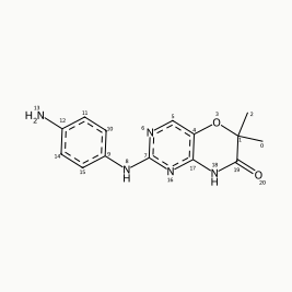 CC1(C)Oc2cnc(Nc3ccc(N)cc3)nc2NC1=O